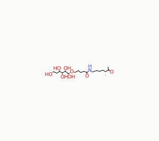 CC(=O)[C@H](C)CCCCNC(=O)CCCCOC(O)C(O)C(O)C(O)CCO